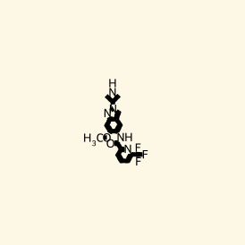 COc1cc2nn(C3CNC3)cc2cc1NC(=O)c1cccc(C(F)(F)F)n1